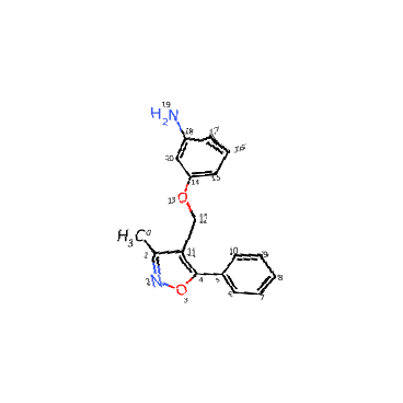 Cc1noc(-c2ccccc2)c1COc1cccc(N)c1